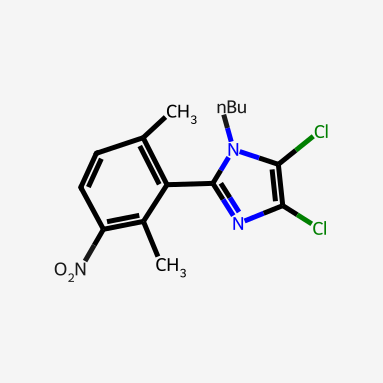 CCCCn1c(-c2c(C)ccc([N+](=O)[O-])c2C)nc(Cl)c1Cl